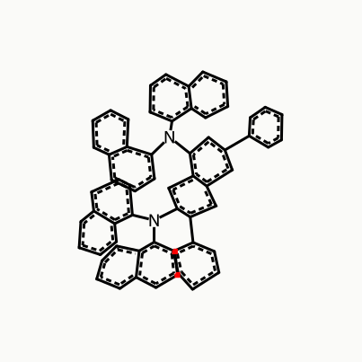 c1ccc(-c2cc(N(c3cccc4ccccc34)c3cccc4ccccc34)c3cc(N(c4cccc5ccccc45)c4cccc5ccccc45)c(-c4ccccc4)cc3c2)cc1